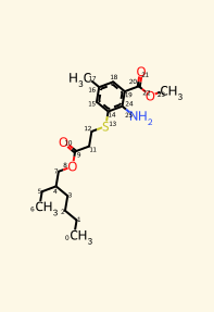 CCCCC(CC)COC(=O)CCSc1cc(C)cc(C(=O)OC)c1N